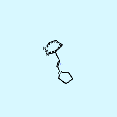 C(=C\N1CCCC1)/c1cccnn1